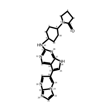 O=C1CCCN1C1CCC(Nc2ncc3c(-c4cnc5nccn5c4)c[nH]c3n2)CC1